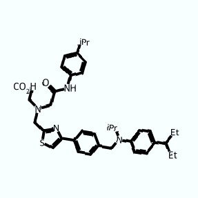 CCC(CC)c1ccc(N(Cc2ccc(-c3csc(CN(CC(=O)O)CC(=O)Nc4ccc(C(C)C)cc4)n3)cc2)C(C)C)cc1